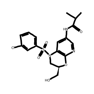 CC(C)C(=O)Nc1cnc2c(c1)N(S(=O)(=O)c1cccc(Cl)c1)C[C@H](CO)O2